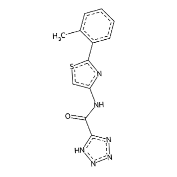 Cc1ccccc1-c1nc(NC(=O)c2nnn[nH]2)cs1